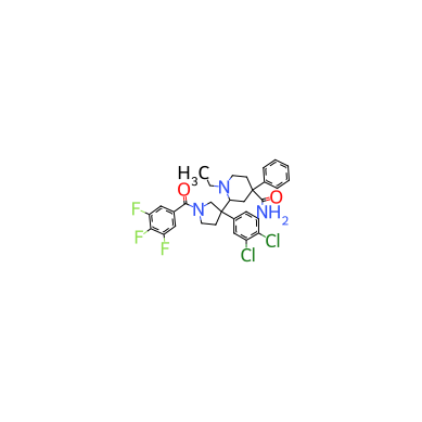 CCN1CCC(C(N)=O)(c2ccccc2)CC1C1(c2ccc(Cl)c(Cl)c2)CCN(C(=O)c2cc(F)c(F)c(F)c2)C1